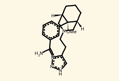 CO[C@@]1(c2cccc(C(N)=O)c2)[C@@H]2CCC[C@H]1CN(CCc1c[nH]nn1)C2